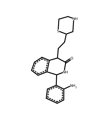 Nc1ccccc1C1NC(=O)C(CCC2CNCCS2)c2ccccc21